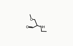 CCNC(C=O)COC